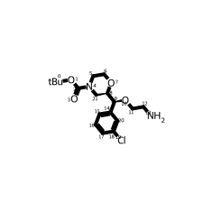 CC(C)(C)OC(=O)N1CCO[C@@H]([C@@H](OCCN)c2cccc(Cl)c2)C1